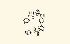 O=C(Cc1ccncc1)Nc1nnc(NC2CCN(c3nnc(NC(=O)Cc4ccncc4)s3)CC2)s1